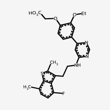 CCOc1cc(-c2cc(NCCc3c(C)sc4c(C)ccc(F)c34)ncn2)ccc1OCC(=O)O